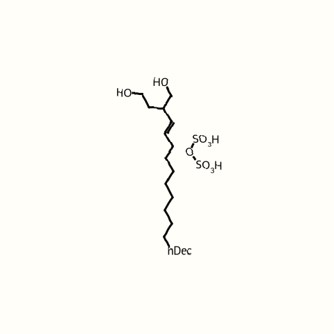 CCCCCCCCCCCCCCCCCCC=CC(CO)CCO.O=S(=O)(O)OS(=O)(=O)O